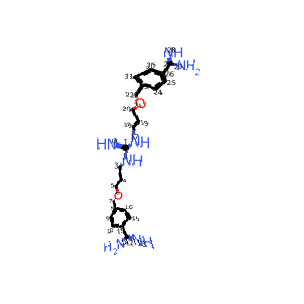 N=C(NCCCOCc1ccc(C(=N)N)cc1)NCCCOCc1ccc(C(=N)N)cc1